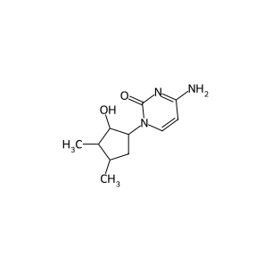 CC1CC(n2ccc(N)nc2=O)C(O)C1C